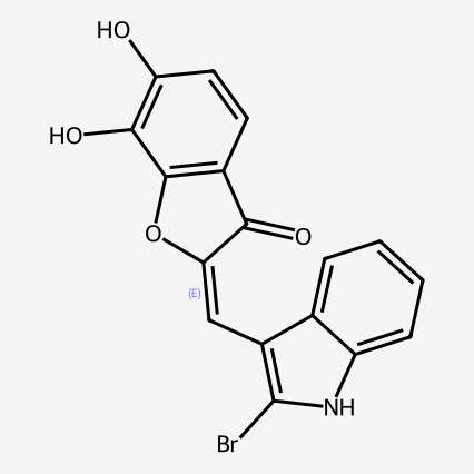 O=C1/C(=C\c2c(Br)[nH]c3ccccc23)Oc2c1ccc(O)c2O